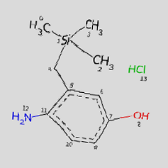 C[Si](C)(C)Cc1cc(O)ccc1N.Cl